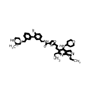 CCc1nc2c(cnn2CC)c(NC2CCOCC2)c1CCc1nc(C(=O)NCc2ccc(F)c(-c3cccc(CN4CCN[C@@H](C)C4)c3)c2)co1